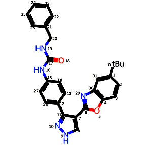 CC(C)(C)c1ccc2oc(-c3c[nH]nc3-c3ccc(NC(=O)NCc4ccccc4)cc3)nc2c1